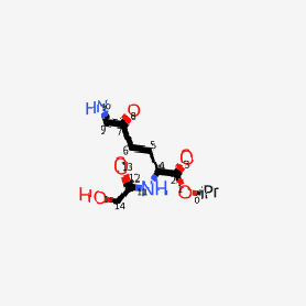 CC(C)OC(=O)[C@H](CCC(=O)C=N)NC(=O)CO